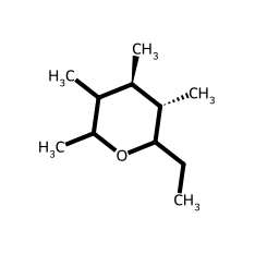 CCC1OC(C)C(C)[C@@H](C)[C@@H]1C